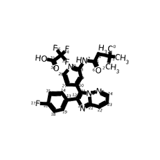 CC(C)(C)CC(=O)Nc1cc(-c2c(-c3ccc(F)cc3)nc3cccnn23)ccn1.O=C(O)C(F)(F)F